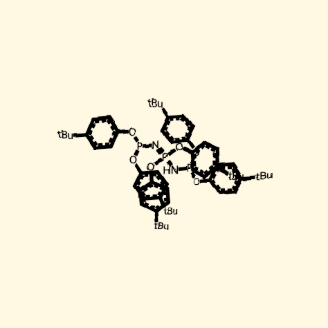 CC(C)(C)c1ccc(OP(N=P(NP(Oc2ccc(C(C)(C)C)cc2)Oc2ccc(C(C)(C)C)cc2)(Oc2ccc(C(C)(C)C)cc2)Oc2ccc(C(C)(C)C)cc2)Oc2ccc(C(C)(C)C)cc2)cc1